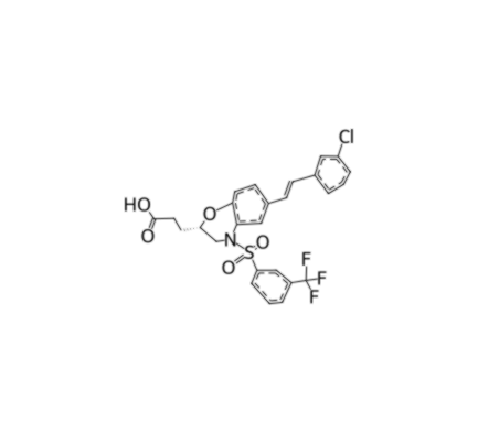 O=C(O)CC[C@H]1CN(S(=O)(=O)c2cccc(C(F)(F)F)c2)c2cc(/C=C/c3cccc(Cl)c3)ccc2O1